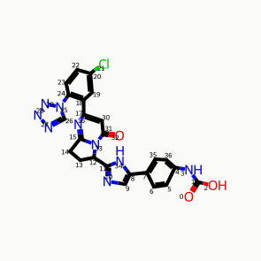 O=C(O)Nc1ccc(-c2cnc(C3CCc4nc(-c5cc(Cl)ccc5-n5cnnn5)cc(=O)n43)[nH]2)cc1